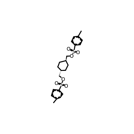 Cc1ccc(S(=O)(=O)OC[C@H]2CC[C@H](COS(=O)(=O)c3ccc(C)cc3)CC2)cc1